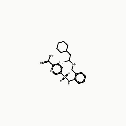 CCCC(=N)c1ccc(S(=O)(=O)Nc2ccccc2CNC(C)CC2CCCCC2)cn1